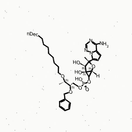 CCCCCCCCCCCCCCCCCCO[C@@H](C)[C@H](COP(=O)(O)OC1[C@H]2O[C@@](C)(c3ccc4c(N)ncnn34)[C@H](O)[C@@]12O)OCc1ccccc1